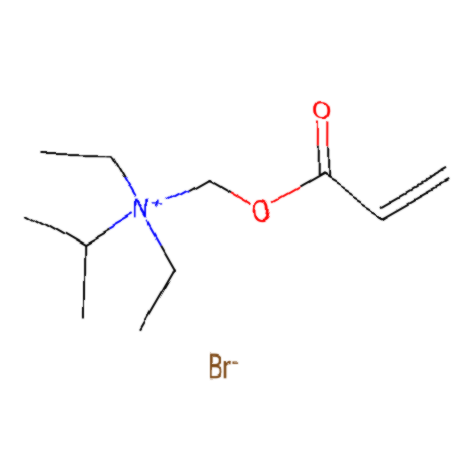 C=CC(=O)OC[N+](CC)(CC)C(C)C.[Br-]